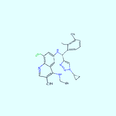 Cc1c(C#N)cccc1C(Nc1cc(Cl)c2ncc(C#N)c(NCC(C)(C)C)c2c1)c1cn(C2CC2)nn1